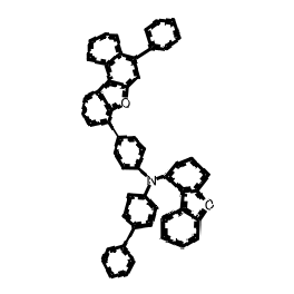 c1ccc(-c2ccc(N(c3ccc(-c4cccc5c4oc4cc(-c6ccccc6)c6ccccc6c45)cc3)c3cccc4oc5ccccc5c34)cc2)cc1